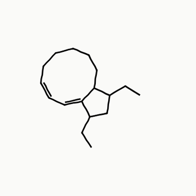 CCC1CC(CC)C2CCCCCC=CC=C12